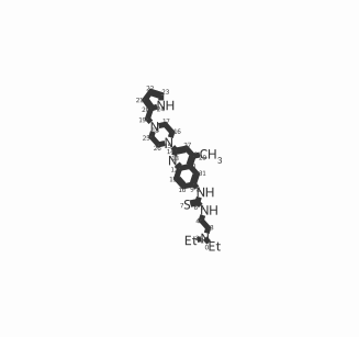 CCN(CC)CCNC(=S)Nc1ccc2nc(N3CCN(Cc4ccc[nH]4)CC3)cc(C)c2c1